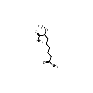 COC(CCCCCC(N)=O)C(N)=O